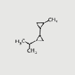 CC(C)[C]1CC1C1CC1C